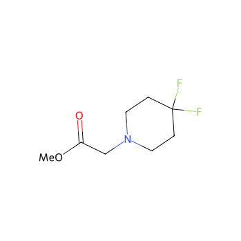 COC(=O)CN1CCC(F)(F)CC1